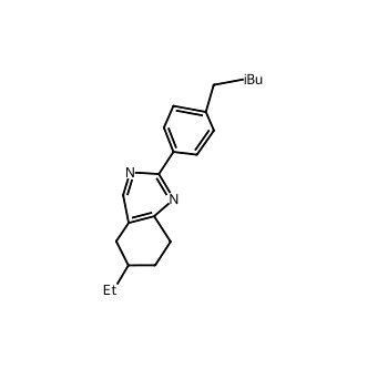 CCC(C)Cc1ccc(-c2ncc3c(n2)CCC(CC)C3)cc1